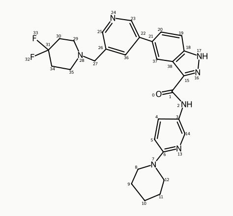 O=C(Nc1ccc(N2CCCCC2)nc1)c1n[nH]c2ccc(-c3cncc(CN4CCC(F)(F)CC4)c3)cc12